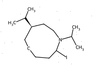 CC(C)[C@@H]1CCCCC(I)N(C(C)C)CC1